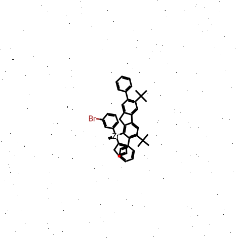 [CH2]=[Zr]([C]1=CC=CC1)([c]1cccc(Br)c1)[c]1c2c(cc(C(C)(C)C)c1-c1ccccc1)-c1cc(C(C)(C)C)c(-c3ccccc3)cc1C2